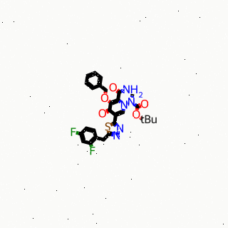 CN(C(=O)OC(C)(C)C)n1cc(-c2nnc(Cc3ccc(F)cc3F)s2)c(=O)c(OCc2ccccc2)c1C(N)=O